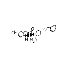 N[C@@H]1CC(COCc2ccccc2)C[C@H]1NC(=O)c1cc2cc(Cl)ccc2[nH]1